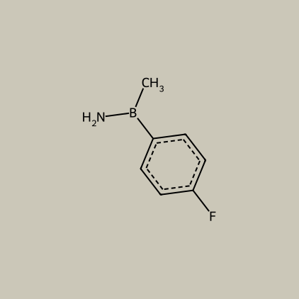 CB(N)c1ccc(F)cc1